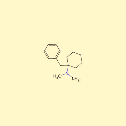 CN(C)C1(Cc2ccccc2)CC[CH]CC1